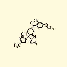 Cn1nc(C(F)(F)F)cc1-c1c2c(nn1C)CN(C(=O)c1ccc(OC(F)(F)F)cc1Cl)CC2